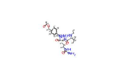 CCNC(C(=O)N[C@H](CCCNC(N)=O)C(=O)Nc1ccc(COC(C)=O)cc1)C(C)C